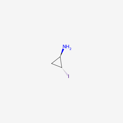 N[C@@H]1C[C@H]1I